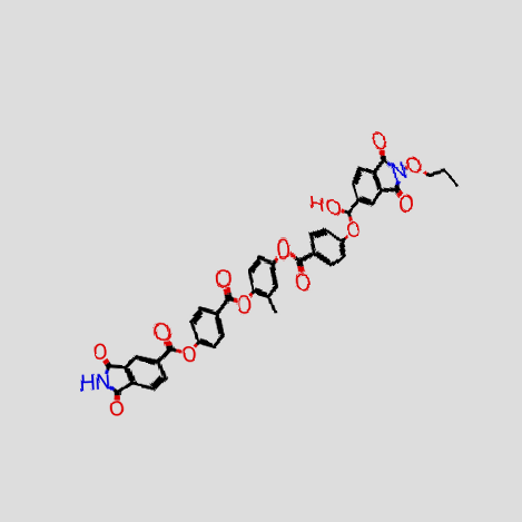 CCCON1C(=O)c2ccc(C(O)Oc3ccc(C(=O)Oc4ccc(OC(=O)c5ccc(OC(=O)c6ccc7c(c6)C(=O)NC7=O)cc5)c(C)c4)cc3)cc2C1=O